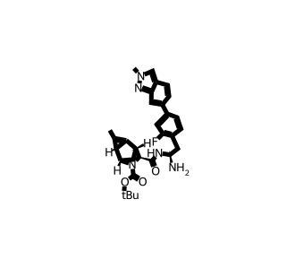 CC1=C2[C@H]1[C@@H]1C[C@H]2[C@@H](C(=O)N[C@H](N)Cc2ccc(-c3ccc4cn(C)nc4c3)cc2F)N1C(=O)OC(C)(C)C